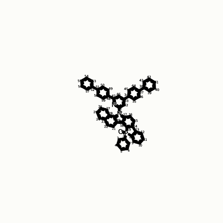 O=P1(c2ccccc2)c2ccccc2-c2ccc3c(c21)c1ccc2ccccc2c1n3-c1cc(-c2ccc(-c3ccccc3)cc2)cc(-c2ccc(-c3ccccc3)cc2)n1